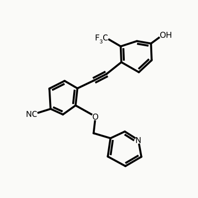 N#Cc1ccc(C#Cc2ccc(O)cc2C(F)(F)F)c(OCc2cccnc2)c1